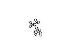 c1ccc2c(c1)ccc1nc(-c3ccc(-c4cc(-n5c6ccccc6c6ccccc65)cc(-n5c6ccccc6c6ccccc65)c4)cc3)c3oc4ccccc4c3c12